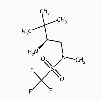 CN(C[C@@H](N)C(C)(C)C)S(=O)(=O)C(F)(F)F